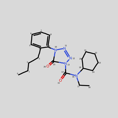 CCCCc1ccccc1-n1nnn(C(=O)N(CC)C2CCCCC2)c1=O